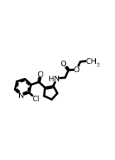 CCOC(=O)CNC1=C(C(=O)c2cccnc2Cl)CCC1